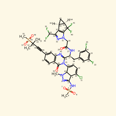 CN1N=C(NS(C)(=O)=O)C2C(Cl)=CC=C(n3c([C@H](Cc4cc(F)cc(F)c4)NC(=O)Cn4nc(C(F)F)c5c4C(F)(F)[C@@H]4C[C@H]54)nc4cc(C#CC(C)(C)S(C)(=O)=O)ccc4c3=O)C21